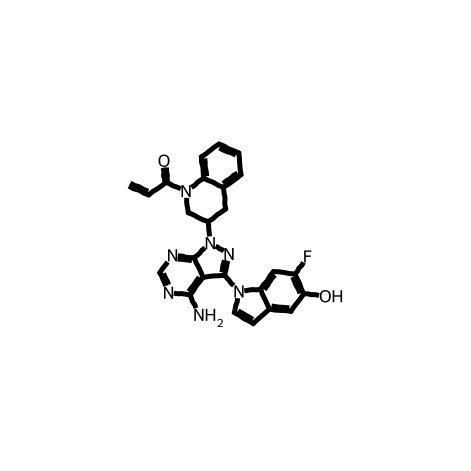 C=CC(=O)N1CC(n2nc(-n3ccc4cc(O)c(F)cc43)c3c(N)ncnc32)Cc2ccccc21